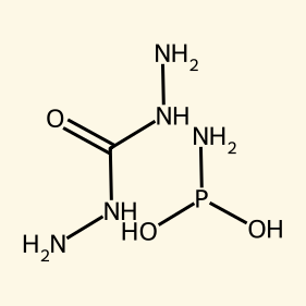 NNC(=O)NN.NP(O)O